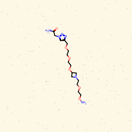 NOCCOCCN1CC(OCCOCCOCc2cn(CC(N)=O)nn2)C1